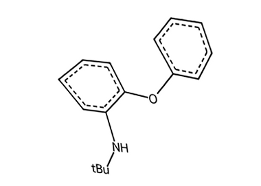 CC(C)(C)Nc1ccccc1Oc1ccccc1